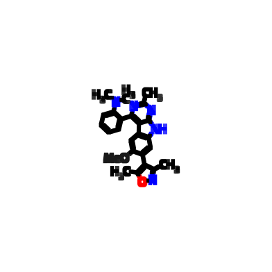 COc1cc2c(cc1-c1c(C)noc1C)[nH]c1nc(C)nc(-c3ccccc3N(C)C)c12